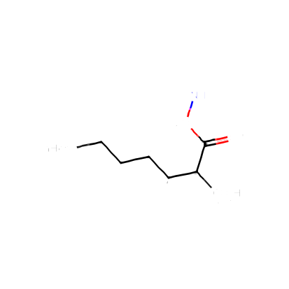 CCCCCCCCCCCC(C(=O)O)C(=O)ON